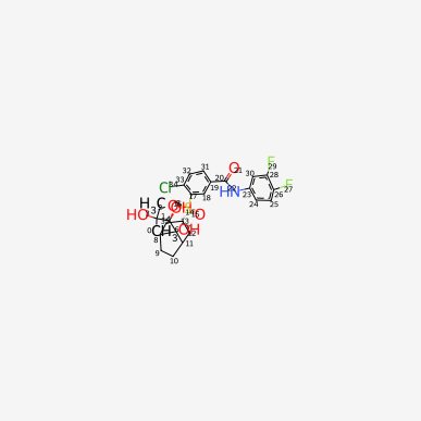 CC(C)(O)[C@@H](O)[C@]1(O)C2CCC1C[C@@H](S(=O)(=O)c1cc(C(=O)Nc3ccc(F)c(F)c3)ccc1Cl)C2